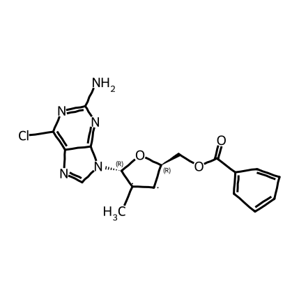 C[C]1[CH][C@H](COC(=O)c2ccccc2)O[C@H]1n1cnc2c(Cl)nc(N)nc21